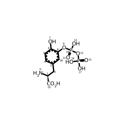 N[C@@H](Cc1ccc(O)c(OP(=O)(O)OP(=O)(O)O)c1)C(=O)O